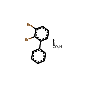 Brc1cccc(-c2ccccc2)c1Br.CC(=O)O